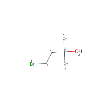 CCC(O)(CC)CCBr